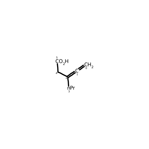 C=C=C(CCC)CC(=O)O